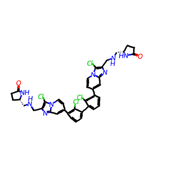 O=C1CC[C@@H](CNCc2nc3cc(-c4cccc(-c5cccc(-c6ccn7c(Cl)c(CNC[C@@H]8CCC(=O)N8)nc7c6)c5Cl)c4Cl)ccn3c2Cl)N1